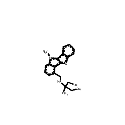 Cn1c2cccc(CNC(C)(CO)CO)c2c2oc3ccccc3c21